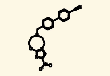 N#Cc1ccc(-c2ccc(CN3CCOc4nc([N+](=O)[O-])cn4CC3)cc2)cc1